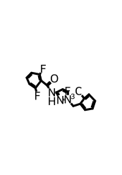 O=C(Nc1ccn(Cc2ccccc2C(F)(F)F)n1)c1c(F)cccc1F